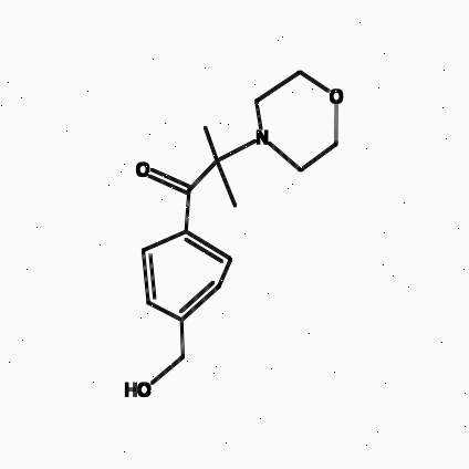 CC(C)(C(=O)c1ccc(CO)cc1)N1CCOCC1